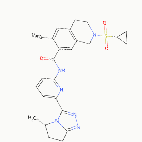 COc1cc2c(cc1C(=O)Nc1cccc(-c3nnc4n3[C@@H](C)CC4)n1)CN(S(=O)(=O)C1CC1)CC2